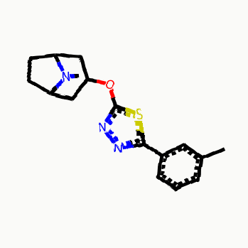 Cc1cccc(-c2nnc(OC3CC4CCC(C3)N4C)s2)c1